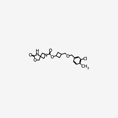 Cc1ccc(COCC2CC(OC(=O)N3CC4(COC(=O)N4)C3)C2)cc1Cl